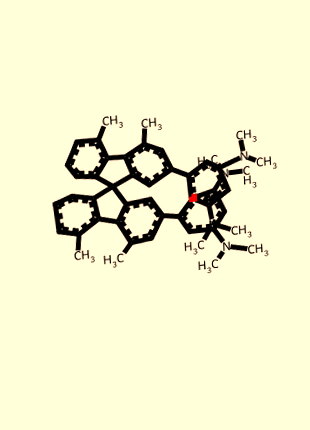 Cc1cccc2c1-c1c(C)cc(-c3cc(N(C)C)cc(N(C)C)c3)cc1C21c2cccc(C)c2-c2c(C)cc(-c3cc(N(C)C)cc(N(C)C)c3)cc21